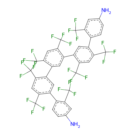 Nc1ccc(-c2cc(-c3cc(-c4cc(-c5ccc(N)cc5C(F)(F)F)c(C(F)(F)F)cc4C(F)(F)F)c(C(F)(F)F)cc3C(F)(F)F)c(C(F)(F)F)cc2C(F)(F)F)c(C(F)(F)F)c1